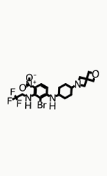 O=[N+]([O-])c1ccc(NC2CCC(N3CC4(COC4)C3)CC2)c(Br)c1NCC(F)(F)F